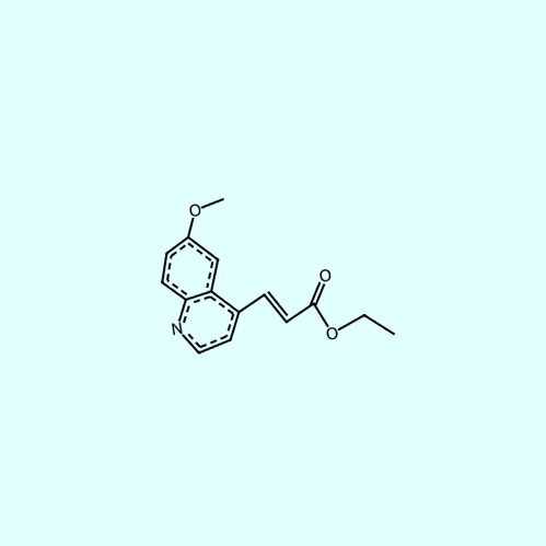 CCOC(=O)/C=C/c1ccnc2ccc(OC)cc12